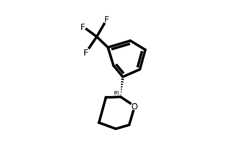 FC(F)(F)c1cccc([C@H]2CCCCO2)c1